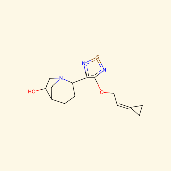 OC1CN2CC1CCC2c1nsnc1OCC=C1CC1